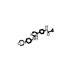 O=C(Nc1ccc(-c2ccnc(Nc3ccc(N4CCOCC4)cc3)n2)cc1)C1CC1